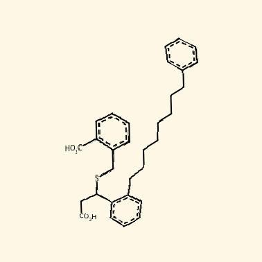 O=C(O)CC(SCc1ccccc1C(=O)O)c1ccccc1CCCCCCCCc1ccccc1